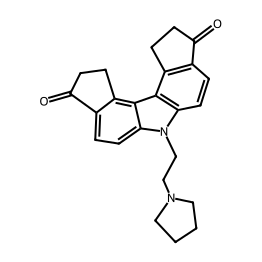 O=C1CCc2c1ccc1c2c2c3c(ccc2n1CCN1CCCC1)C(=O)CC3